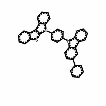 c1ccc(-c2ccc3c(c2)c2ccccc2n3-c2ccc(-n3c4ccccc4c4c5ccccc5sc43)cc2)cc1